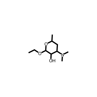 CCOC1OC(C)CC(N(C)C)C1O